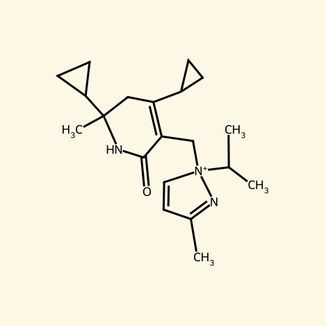 CC1=N[N+](CC2=C(C3CC3)CC(C)(C3CC3)NC2=O)(C(C)C)C=C1